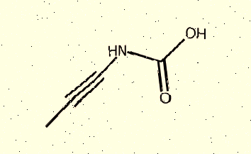 CC#CNC(=O)O